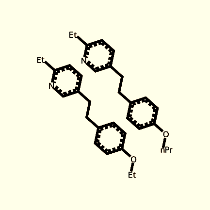 CCCOc1ccc(CCc2ccc(CC)nc2)cc1.CCOc1ccc(CCc2ccc(CC)nc2)cc1